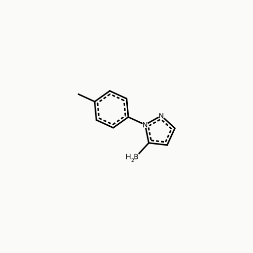 Bc1ccnn1-c1ccc(C)cc1